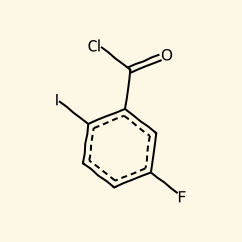 O=C(Cl)c1cc(F)ccc1I